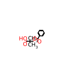 CC(C)(COC(=O)c1ccccc1)C(=O)O